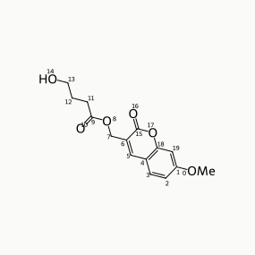 COc1ccc2cc(COC(=O)CCCO)c(=O)oc2c1